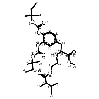 CCC(C)(C)OC(=O)Oc1ccc(C[C@H](NCCOC(=O)C(C)C(C)C)C(=O)OC)cc1OC(=O)OC(C)(C)CC